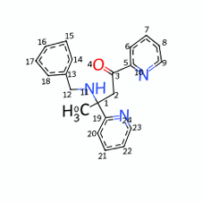 CC(CC(=O)c1ccccn1)(NCc1ccccc1)c1ccccn1